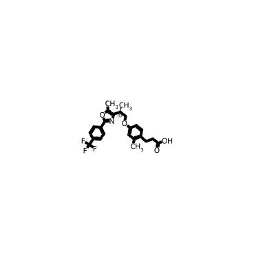 Cc1cc(OC[C@@H](C)c2nc(-c3ccc(C(F)(F)F)cc3)oc2C)ccc1CCC(=O)O